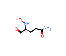 NC(=O)CC[C@@H]([C]=O)NO